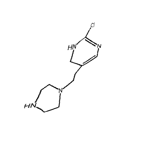 ClC1=NC=C(CN2CCNCC2)CN1